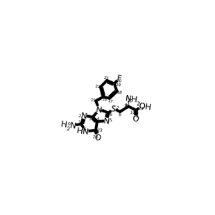 Nc1nc2c(nc(SC[C@H](N)C(=O)O)n2Cc2ccc(F)cc2)c(=O)[nH]1